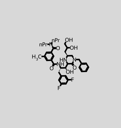 CCCN(CCC)C(=O)c1cc(C)cc(C(=O)N[C@@H](Cc2cc(F)cc(F)c2)[C@H](O)C2N[C@@H](CC(O)CO)CN(Cc3ccccc3)C2=O)c1